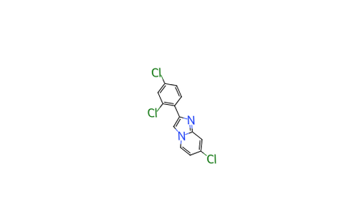 Clc1ccc(-c2cn3ccc(Cl)cc3n2)c(Cl)c1